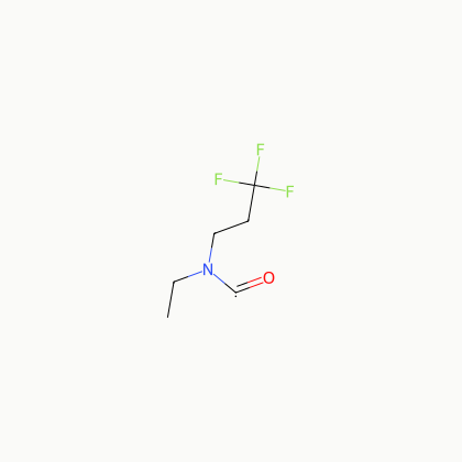 CCN([C]=O)CCC(F)(F)F